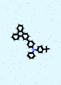 CC(C)(C)c1ccc(N(c2ccccc2)c2ccc(-c3ccc4c5ccccc5c5ccccc5c4c3)cc2)cc1